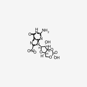 Nc1nc2c(nc([N+](=O)[O-])n2[C@@H]2O[C@@H]3COP(=O)(O)O[C@H]3[C@H]2O)c(=O)[nH]1